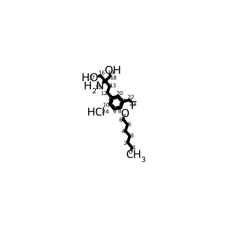 CCCCCCCOc1ccc(CCC(N)(CO)CO)cc1CF.Cl